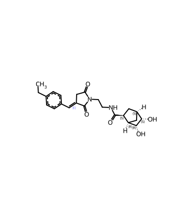 CCc1ccc(/C=C2\CC(=O)N(CCNC(=O)[C@H]3C[C@@H]4C[C@H]3[C@@H](O)[C@H]4O)C2=O)cc1